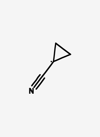 N#C[C]1CC1